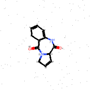 O=C1NC2=CC=CCC2C(=O)N2CC=CC12